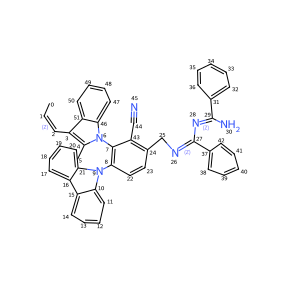 C/C=C\c1c(C)n(-c2c(-n3c4ccccc4c4ccccc43)ccc(C/N=C(\N=C(/N)c3ccccc3)c3ccccc3)c2C#N)c2ccccc12